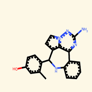 Cc1cc(O)ccc1C1Nc2ccccc2-c2nc(N)nn3ccc1c23